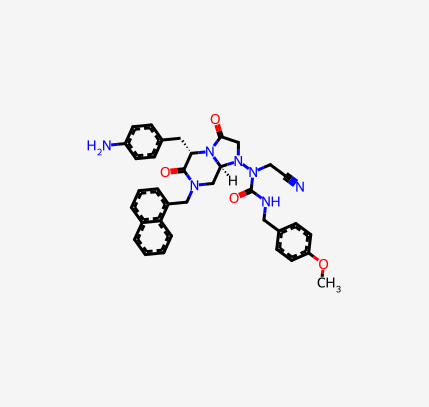 COc1ccc(CNC(=O)N(CC#N)N2CC(=O)N3[C@@H](Cc4ccc(N)cc4)C(=O)N(Cc4cccc5ccccc45)C[C@@H]32)cc1